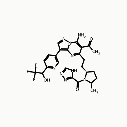 CC(=O)c1c(CC[C@H]2CC[C@@H](C)N2C(=O)c2nnc[nH]2)nc2c(-c3ccc(C(O)C(F)(F)F)nc3)cnn2c1N